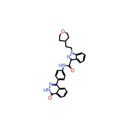 O=C(Nc1ccc(-c2n[nH]c(=O)c3ccccc23)cc1)c1nn(CCC2CCOCC2)c2ccccc12